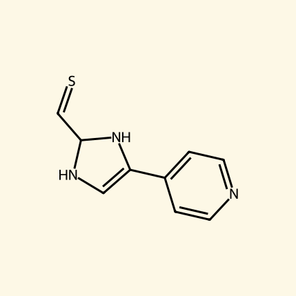 S=CC1NC=C(c2ccncc2)N1